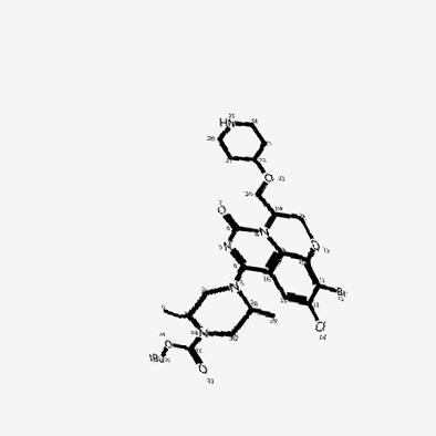 CC1CN(c2nc(=O)n3c4c(c(Br)c(Cl)cc24)OCC3COC2CCNCC2)C(C)CN1C(=O)OC(C)(C)C